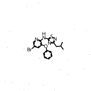 CC(C)Cc1nsc(Nc2ncc(Br)cc2Oc2ccccc2)n1